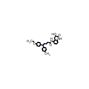 CCOc1ccc(/C(=C/C=C/C(=O)Nc2cccc3c2CC(O)C(=O)N3)c2ccc(C)cc2)cc1